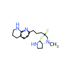 CN(CC(F)(F)CCCc1ccc2c(n1)NCCC2)[C@@H]1CCNC1